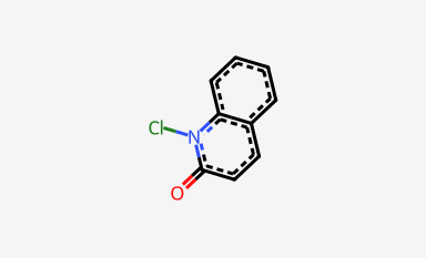 O=c1ccc2ccccc2n1Cl